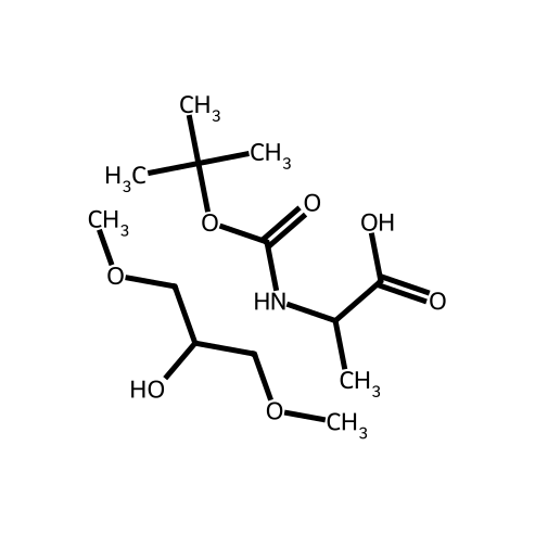 CC(NC(=O)OC(C)(C)C)C(=O)O.COCC(O)COC